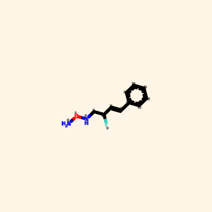 NONCC(F)C=Cc1ccccc1